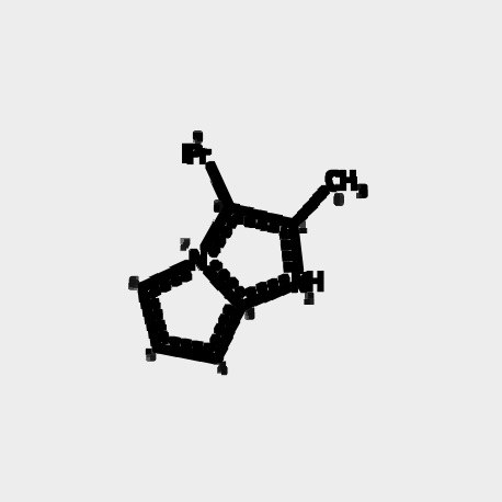 Cc1[nH]c2cccn2c1C(C)C